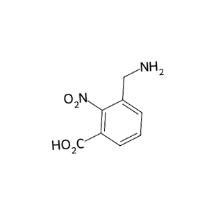 NCc1cccc(C(=O)O)c1[N+](=O)[O-]